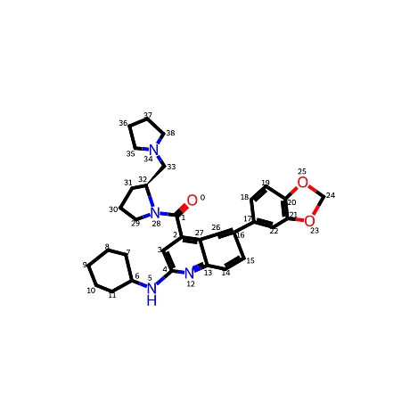 O=C(c1cc(NC2CCCCC2)nc2ccc(-c3ccc4c(c3)OCO4)cc12)N1CCC[C@H]1CN1CCCC1